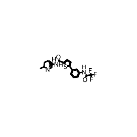 CC1CC2CCN1C[C@@H]2NC(=O)c1ccc(-c2cccc(NC(=O)C(F)(F)F)c2)s1